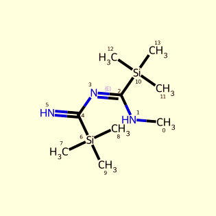 CN/C(=N\C(=N)[Si](C)(C)C)[Si](C)(C)C